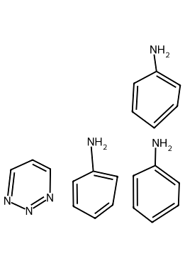 Nc1ccccc1.Nc1ccccc1.Nc1ccccc1.c1cnnnc1